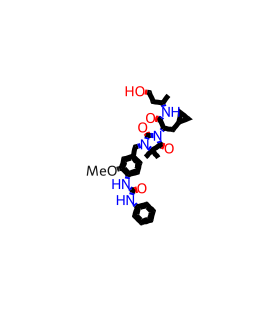 COc1cc(CN2C(=O)N(C(CC3CC3)C(=O)NC(C)CCO)C(=O)C2(C)C)ccc1NC(=O)Nc1ccccc1